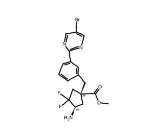 COC(=O)[C@]1(Cc2cccc(-c3ncc(Br)cn3)c2)C[C@@H](N)C(F)(F)C1